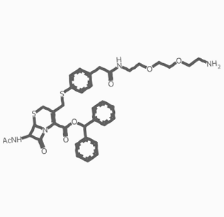 CC(=O)NC1C(=O)N2C(C(=O)OC(c3ccccc3)c3ccccc3)=C(CSc3ccc(CC(=O)NCCOCCOCCN)cc3)CSC12